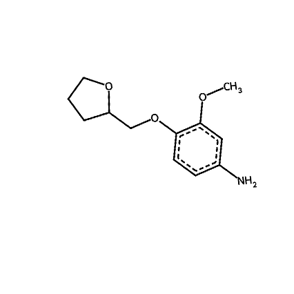 COc1cc(N)ccc1OCC1CCCO1